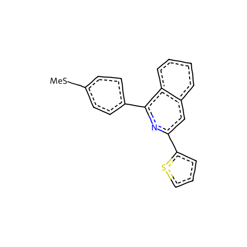 CSc1ccc(-c2nc(-c3cccs3)cc3ccccc23)cc1